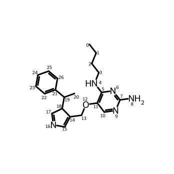 CCCCNc1nc(N)ncc1OCC1=CN=CC1C(C)c1ccccc1